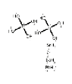 [BaH2].[OH][Ti]([OH])([OH])[OH].[OH][Ti]([OH])([OH])[OH].[PbH2].[SrH2].[Zr]